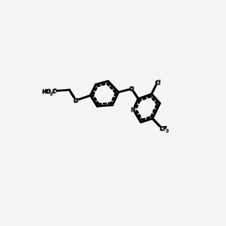 O=C(O)COc1ccc(Oc2ncc(C(F)(F)F)cc2Cl)cc1